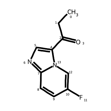 CCC(=O)c1cnc2ccc(F)cn12